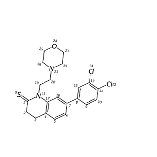 S=C1CCc2ccc(-c3ccc(Cl)c(Cl)c3)cc2N1CCN1CCOCC1